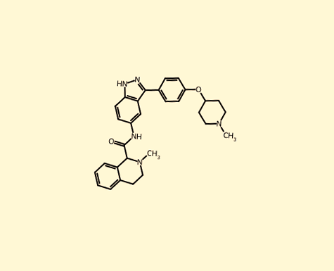 CN1CCC(Oc2ccc(-c3n[nH]c4ccc(NC(=O)C5c6ccccc6CCN5C)cc34)cc2)CC1